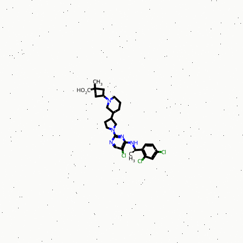 C[C@@H](Nc1nc(N2CCC(C3CCCN(C4CC(C)(C(=O)O)C4)C3)C2)ncc1Cl)c1ccc(Cl)cc1Cl